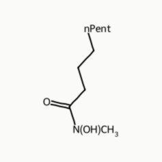 CCCCCCCCC(=O)N(C)O